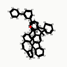 CC1(C)c2ccccc2-c2cc3c(cc21)-c1ccccc1C31c2ccccc2C=Cc2ccc(-c3nc(-c4ccccc4)nc(-c4cccc(-c5ccccc5)c4)n3)cc21